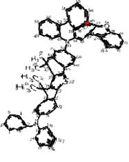 CC1(C)c2cc(N(c3ccccc3)c3ccccc3)ccc2-c2sc3c(c21)C(C)(C)c1cc(N(c2ccc4oc5ccccc5c4c2)c2ccccc2-c2ccccc2)ccc1-3